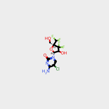 Nc1nc(=O)n([C@@H]2O[C@@](CO)(C(F)F)C(F)(F)C2O)cc1Cl